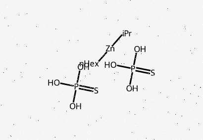 CCCCC[CH2][Zn][CH](C)C.OP(O)(O)=S.OP(O)(O)=S